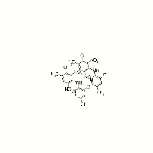 O=[N+]([O-])c1cc(C(F)(F)F)c(Cl)c([N+](=O)[O-])c1Nc1ncc(C(F)(F)F)cc1Cl.O=[N+]([O-])c1cc(C(F)(F)F)c(Cl)c([N+](=O)[O-])c1Nc1ncc(C(F)(F)F)cc1Cl